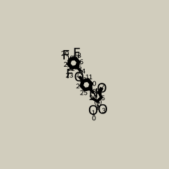 COC(=O)[C@H]1CC(=O)N(c2ccc(OCc3cc(F)c(F)cc3F)cc2)C1